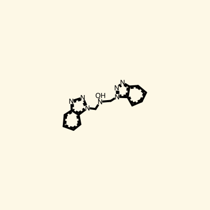 ON(Cn1nnc2ccccc21)Cn1nnc2ccccc21